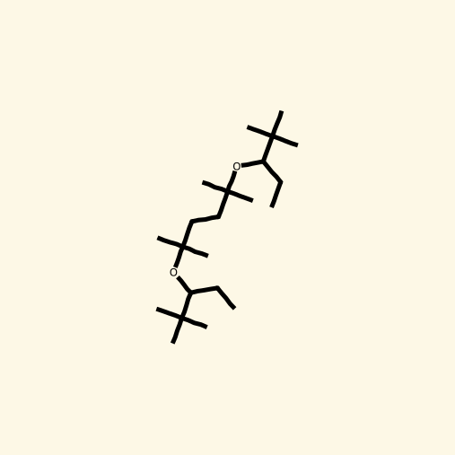 CCC(OC(C)(C)CCC(C)(C)OC(CC)C(C)(C)C)C(C)(C)C